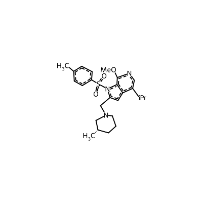 COc1ncc(C(C)C)c2cc(CN3CCC[C@H](C)C3)n(S(=O)(=O)c3ccc(C)cc3)c12